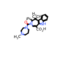 CC(C)C1N(C(=O)N2CCCN(C)CC2)C=C(C(=O)O)c2[nH]c3ccccc3c2C1(C)C